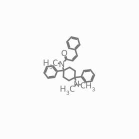 CN(C)C1(c2ccccc2)CCC(c2ccccc2)(N(C)C(=O)/C=C\c2ccccc2)CC1